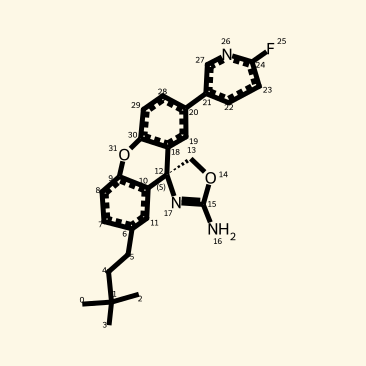 CC(C)(C)CCc1ccc2c(c1)[C@@]1(COC(N)=N1)c1cc(-c3ccc(F)nc3)ccc1O2